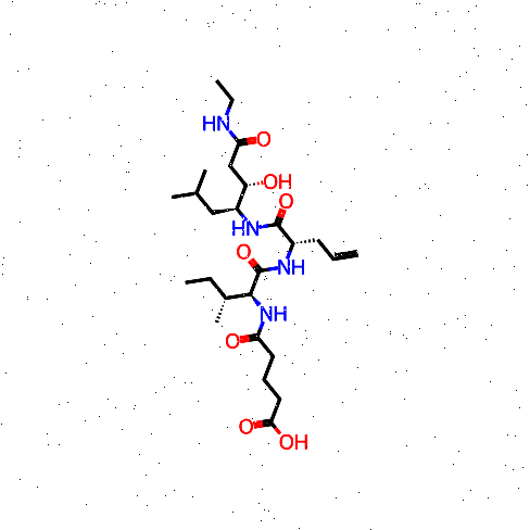 C=CC[C@H](NC(=O)[C@@H](NC(=O)CCCC(=O)O)[C@H](C)CC)C(=O)N[C@@H](CC(C)C)[C@@H](O)CC(=O)NCC